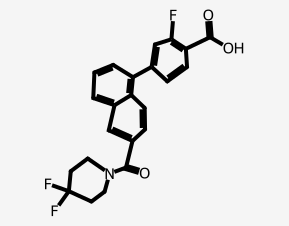 O=C(O)c1ccc(-c2cccc3cc(C(=O)N4CCC(F)(F)CC4)ccc23)cc1F